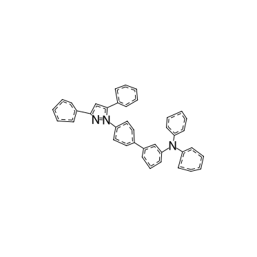 c1ccc(-c2cc(-c3ccccc3)n(-c3ccc(-c4cccc(N(c5ccccc5)c5ccccc5)c4)cc3)n2)cc1